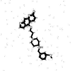 COc1cccc(CNC2CCN(CCCOc3c4ccoc4cc4oc(=O)ccc34)CC2)c1